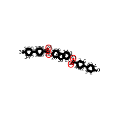 Cc1ccc(-c2ccc(C(=O)Oc3ccc4c(c3)Cc3cc(OC(=O)c5ccc(-c6ccc(C)cc6)cc5)ccc3-4)cc2)cc1